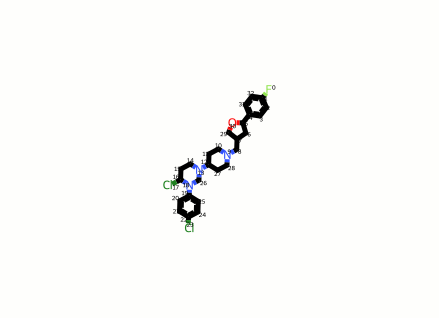 Fc1ccc(C2CC(CN3CCC(N4CCC(Cl)N(c5ccc(Cl)cc5)C4)CC3)CO2)cc1